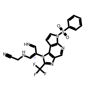 N#CCN/C=C(\C=N)n1c(C(F)(F)F)nc2cnc3c(ccn3S(=O)(=O)c3ccccc3)c21